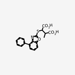 CC(C(=O)O)C(Sc1nc2c(-c3ccccc3)cccc2o1)C(=O)O